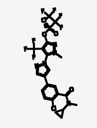 CN(C(=O)c1cc(-c2cnn(-c3c(C(F)(F)F)c(OS(=O)(=O)C(F)(F)C(F)(F)Cl)nn3C)c2)ccc1Cl)C1CC1